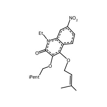 CCCC(C)COc1c(OCC=C(C)C)c2ccc([N+](=O)[O-])cc2n(CC)c1=O